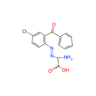 NC(/N=N/c1ccc(Cl)cc1C(=O)c1ccccc1)C(=O)O